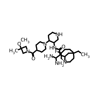 CCC12CCC(F)C[N@](CC1)C(C(C(=O)NC1CNCCC1N1CCC(C(=O)N3CC(C)(OC)C3)CC1)C(N)N)C2